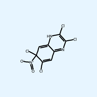 O=[N+]([O-])C1(Cl)C=C2NC(Cl)=C(Cl)N=C2C=C1Cl